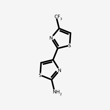 Nc1nc(-c2nc(C(F)(F)F)cs2)cs1